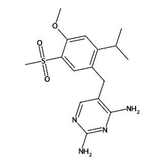 COc1cc(C(C)C)c(Cc2cnc(N)nc2N)cc1S(C)(=O)=O